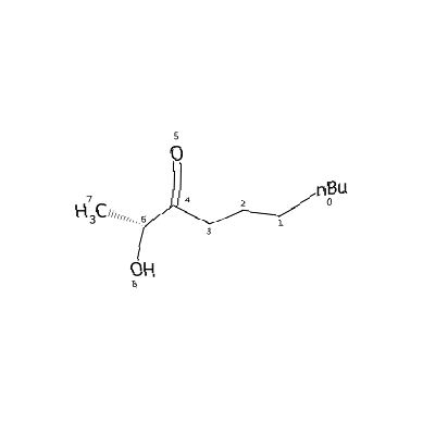 CCCCCCCC(=O)[C@@H](C)O